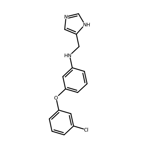 Clc1cccc(Oc2cccc(NCc3cnc[nH]3)c2)c1